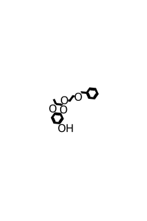 CC(Oc1ccc(O)cc1)C(=O)OCCOCc1ccccc1